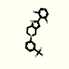 Fc1cccc(F)c1-c1cc2c([nH]1)CCN(c1cccc(C(F)(F)F)c1)C2